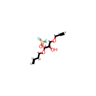 C#CCOCC(O)COCCC=C.OP(F)F